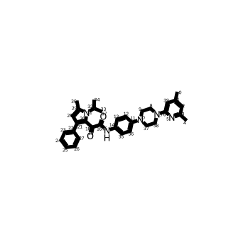 Cc1cc(C)nc(N2CCN(c3ccc(NC(=O)C(=O)c4c(-c5ccccc5)cc(C)n4C(C)C)cc3)CC2)c1